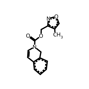 Cc1conc1COC(=O)N1C=Cc2ccccc2C1